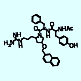 CC(=O)NC(Cc1ccc(O)cc1)C(=O)N[C@H](Cc1ccccc1)C(=O)N1CC(OCc2ccc3ccccc3c2)CC1CCCNC(=N)N